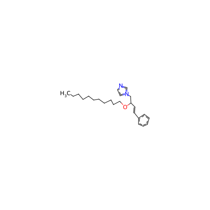 CCCCCCCCCCCOC(C=Cc1ccccc1)Cn1ccnc1